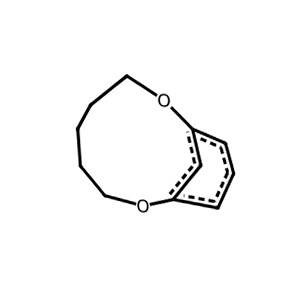 c1cc2cc(c1)OCCCCCO2